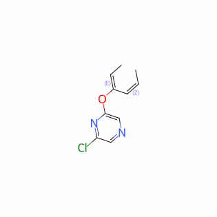 C/C=C\C(=C/C)Oc1cncc(Cl)n1